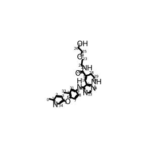 Cc1ccc(Oc2ccc(Nc3ncnc4c3C=C(C(=O)NCCOCCO)CCN4)cc2C)cn1